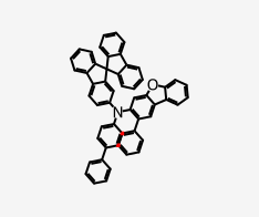 c1ccc(-c2ccc(N(c3ccc4c(c3)C3(c5ccccc5-c5ccccc53)c3ccccc3-4)c3cc4oc5ccccc5c4cc3-c3ccccc3)cc2)cc1